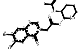 CC(=O)O[C@H]1CCCN[C@@H]1CC(=O)Cn1cnc2cc(Br)c(Cl)cc2c1=O